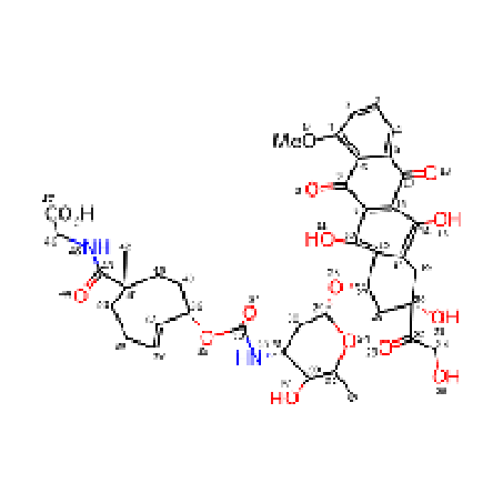 COc1cccc2c1C(=O)c1c(O)c3c(c(O)c1C2=O)C[C@@](O)(C(=O)CO)C[C@@H]3O[C@H]1C[C@@H](NC(=O)O[C@@H]2/C=C/CC[C@](C)(C(=O)NCC(=O)O)CC2)C(O)C(C)O1